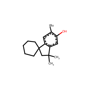 CC(C)(C)c1cc2c(cc1O)C(C)(C)CC21CCCCC1